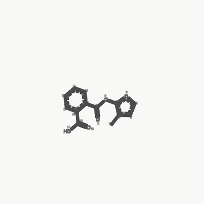 Cc1ccoc1OC(=O)c1ccccc1C(=O)O